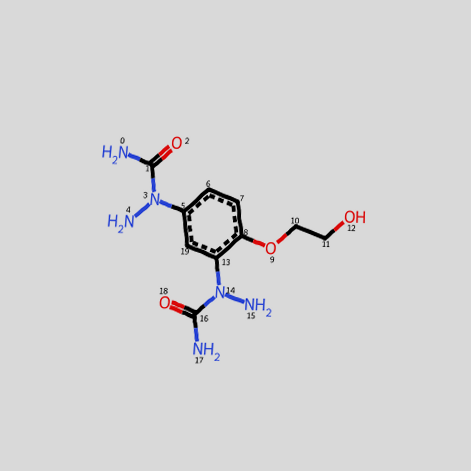 NC(=O)N(N)c1ccc(OCCO)c(N(N)C(N)=O)c1